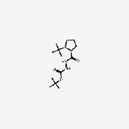 CC(C)(C)OC(=O)NNC(=O)[C@@H]1CCCN1C(C)(C)C